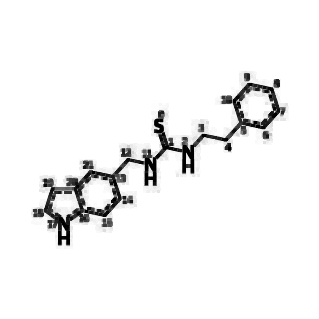 S=C(NCCc1ccccc1)NCc1ccc2[nH]ccc2c1